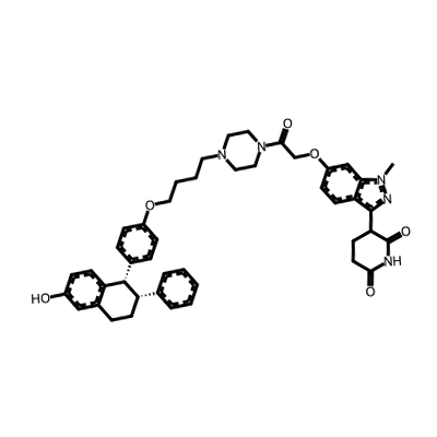 Cn1nc(C2CCC(=O)NC2=O)c2ccc(OCC(=O)N3CCN(CCCCOc4ccc([C@H]5c6ccc(O)cc6CC[C@H]5c5ccccc5)cc4)CC3)cc21